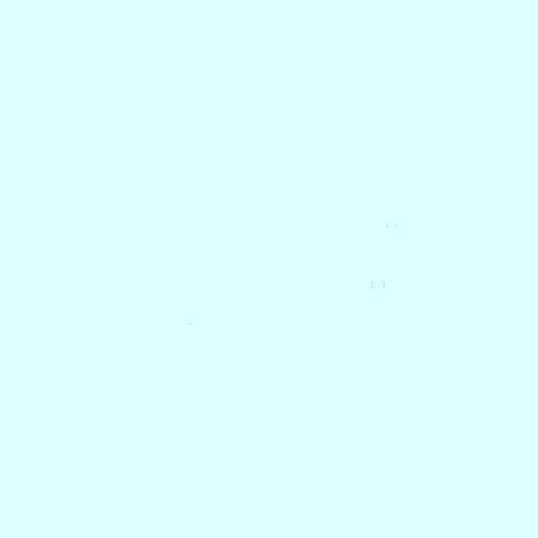 CC/C=C\C/C=C\C/C=C\CCCCCCC(CC(C)C)C(=O)O